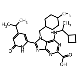 CC1CCC(Cn2c(-c3cc(C(C)C)cc(=O)[nH]3)nc3nc(C(=O)O)nc(NC(C)C4CCC4)c32)CC1